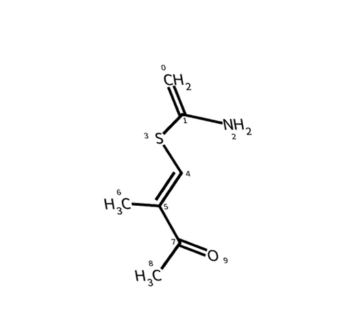 C=C(N)S/C=C(\C)C(C)=O